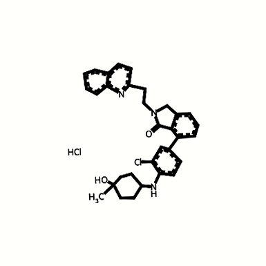 CC1(O)CCC(Nc2ccc(-c3cccc4c3C(=O)N(CCc3ccc5ccccc5n3)C4)cc2Cl)CC1.Cl